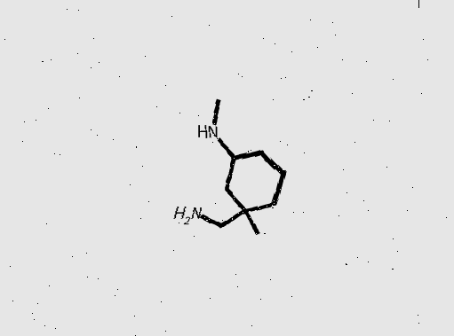 CNC1CCCC(C)(CN)C1